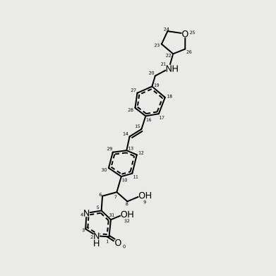 O=c1[nH]cnc(CC(CO)c2ccc(/C=C/c3ccc(CNC4CCOC4)cc3)cc2)c1O